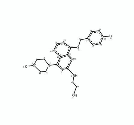 [O-][S+]1CCN(c2nc(NCCO)nc3c(SCc4ccc(Cl)cc4)ncnc23)CC1